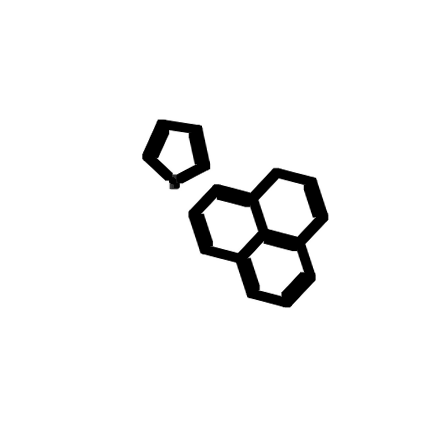 C1=Cc2cccc3cccc(c23)C1.c1ccsc1